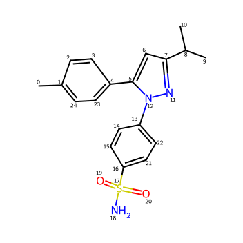 Cc1ccc(-c2cc(C(C)C)nn2-c2ccc(S(N)(=O)=O)cc2)cc1